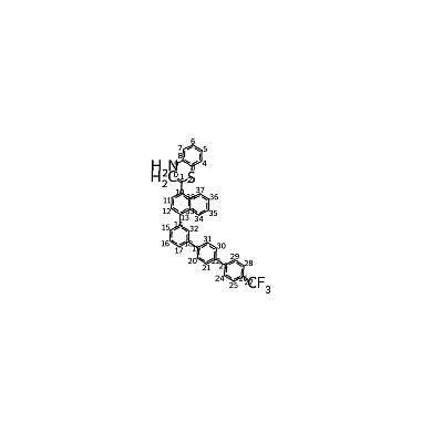 C=C(Sc1ccccc1N)c1ccc(-c2cccc(-c3ccc(-c4ccc(C(F)(F)F)cc4)cc3)c2)c2ccccc12